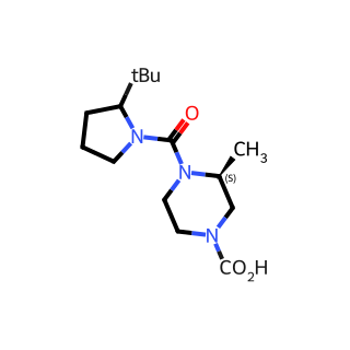 C[C@H]1CN(C(=O)O)CCN1C(=O)N1CCCC1C(C)(C)C